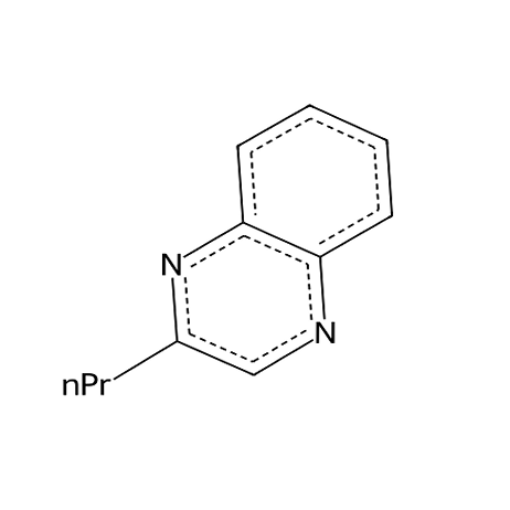 CCCc1cnc2ccccc2n1